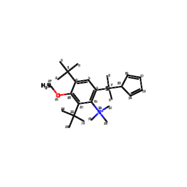 CC(C)(C)c1cc([Si](C)(C)C2C=CC=C2)c([N+](C)(C)C)c(C(C)(C)C)c1O[SiH3]